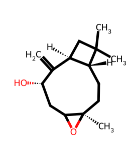 C=C1[C@H]2CC(C)(C)[C@@H]2CC[C@@]2(C)OC2C[C@@H]1O